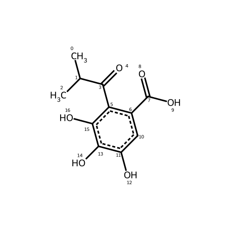 CC(C)C(=O)c1c(C(=O)O)cc(O)c(O)c1O